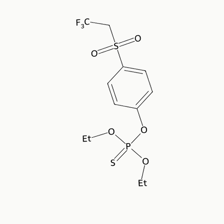 CCOP(=S)(OCC)Oc1ccc(S(=O)(=O)CC(F)(F)F)cc1